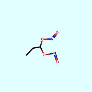 CCC(ON=O)ON=O